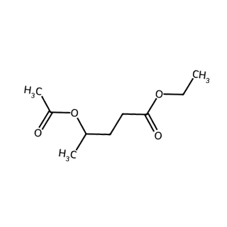 CCOC(=O)CCC(C)OC(C)=O